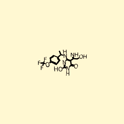 CC(Nc1nc(O)[nH]c(=O)c1C(=N)CO)c1ccc(OC(F)(F)F)cc1